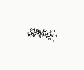 B[C@@H]1O[C@H](CC(C)(CC)OP(B)(=O)C(CC)(CC)C(C)(CC)OP(=O)(O)C(C)O)[C@@H](O)[C@H]1O